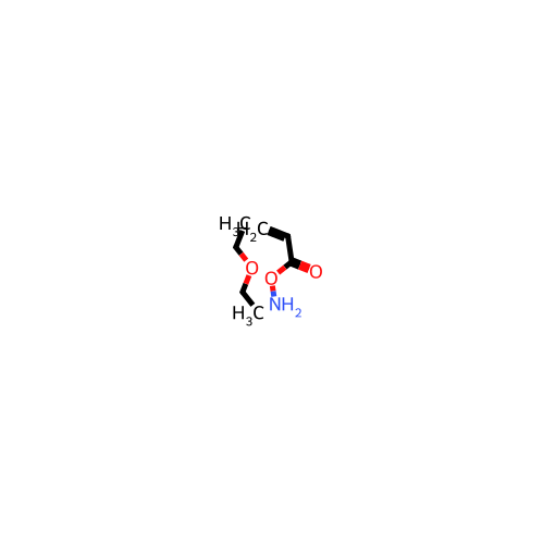 C=CC(=O)ON.CCOCC